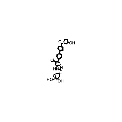 O=C(c1ccc(-c2ccc(-c3nc4nc(O[C@H]5CO[C@H](CO)[C@@H](O)C5)[nH]c4cc3Cl)cc2)cc1)N1CCC(O)C1